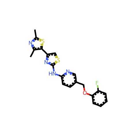 Cc1nc(C)c(-c2csc(Nc3ccc(COc4ccccc4F)cn3)n2)s1